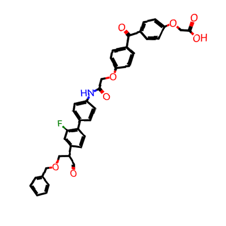 O=CC(COCc1ccccc1)c1ccc(-c2ccc(NC(=O)COc3ccc(C(=O)c4ccc(OCC(=O)O)cc4)cc3)cc2)c(F)c1